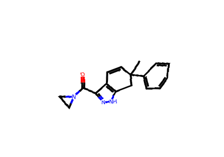 CC1(c2ccccc2)C=Cc2c(C(=O)N3CC3)n[nH]c2C1